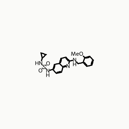 COc1ccccc1CNc1ccc2cc(NS(=O)(=O)NC3CC3)ccc2n1